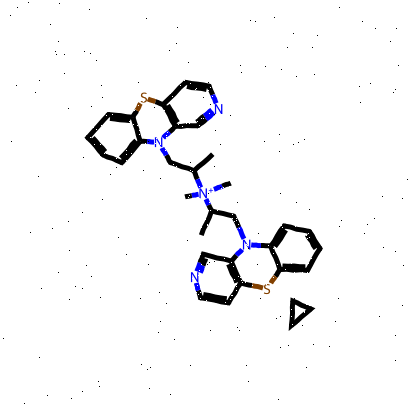 C1CC1.CC(CN1c2ccccc2Sc2ccncc21)[N+](C)(C)C(C)CN1c2ccccc2Sc2ccncc21